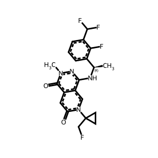 C[C@@H](Nc1nn(C)c(=O)c2cc(=O)n(C3(CF)CC3)cc12)c1cccc(C(F)F)c1F